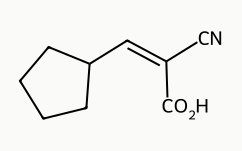 N#CC(=CC1CCCC1)C(=O)O